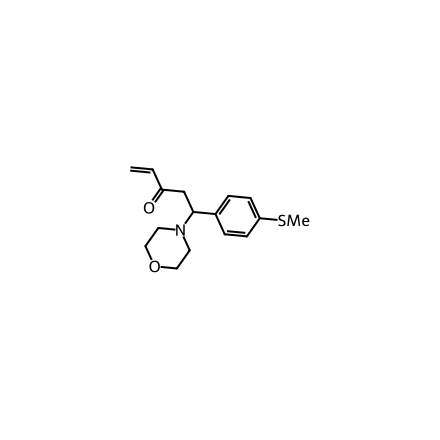 C=CC(=O)CC(c1ccc(SC)cc1)N1CCOCC1